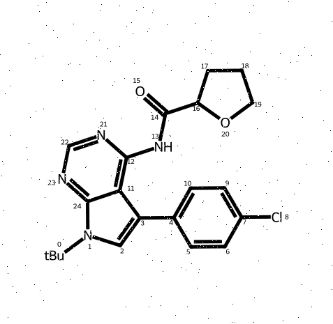 CC(C)(C)n1cc(-c2ccc(Cl)cc2)c2c(NC(=O)C3CCCO3)ncnc21